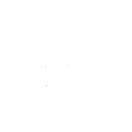 C=C(C#CC)CS(=O)(=O)O